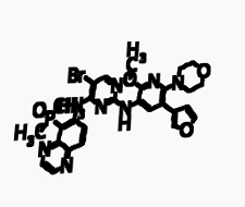 COc1nc(N2CCOCC2)c(-c2ccoc2)cc1Nc1ncc(Br)c(Nc2ccc3nccnc3c2P(C)(C)=O)n1